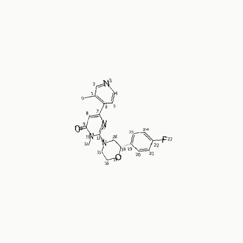 Cc1cnccc1-c1cc(=O)n(C)c(N2CCO[C@@H](c3ccc(F)cc3)C2)n1